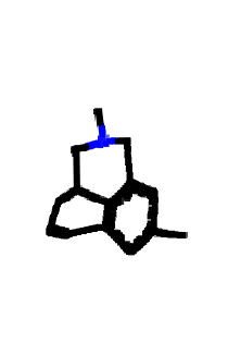 Cc1cc2c3c(c1)CN(C)CC3CC=C2